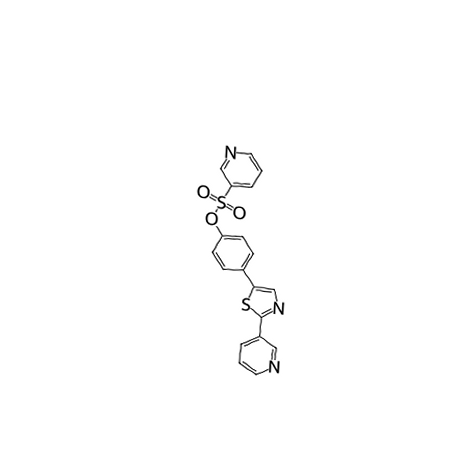 O=S(=O)(Oc1ccc(-c2cnc(-c3cccnc3)s2)cc1)c1cccnc1